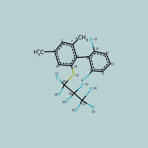 Cc1[c]c(C)c(-c2c(F)cccc2F)c(SC(F)(F)C(F)(F)C(F)(F)F)c1